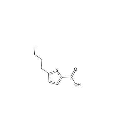 CCCCc1ccc(C(=O)O)s1